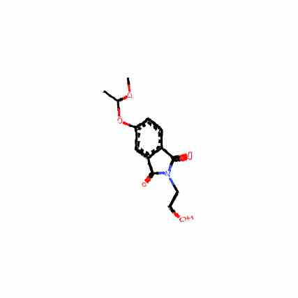 COC(C)Oc1ccc2c(c1)C(=O)N(CCO)C2=O